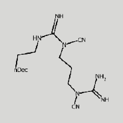 CCCCCCCCCCCCNC(=N)N(C#N)CCCN(C#N)C(=N)N